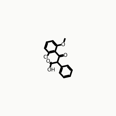 COc1cccc(Cl)c1C(=O)C(C(=O)O)c1ccccc1